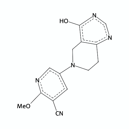 COc1ncc(N2CCc3ncnc(O)c3C2)cc1C#N